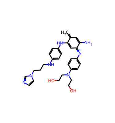 C=C1C=C(N)/C(=N/c2ccc(N(CCO)CCO)cc2)C=C1Nc1ccc(NCCCn2ccnc2)cc1